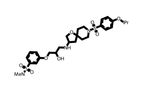 CNS(=O)(=O)c1cccc(OCC(O)CNC2COC3(CCN(S(=O)(=O)c4ccc(OC(C)C)cc4)CC3)C2)c1